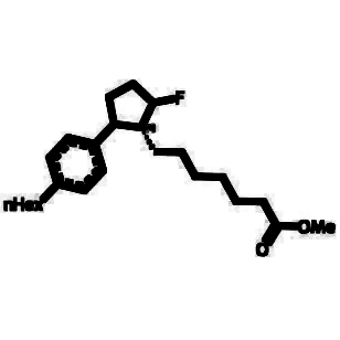 CCCCCCc1ccc(C2CCC(F)[C@@H]2CCCCCCC(=O)OC)cc1